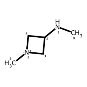 CNC1C[N+](C)C1